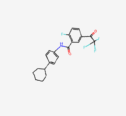 O=C(Nc1ccc(C2CCCCC2)cc1)c1cc(C(=O)C(F)(F)F)ccc1F